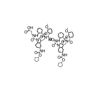 COc1cccc(C(=O)N(Cc2cn(C(=O)NCCC(=O)O)c3ccc(NC(=O)OC4CCCC4)cc23)S(=O)(=O)c2ccccc2C)c1.COc1cccc(C(=O)N(Cc2cn(C(=O)NO)c3ccc(NC(=O)OC4CCCC4)cc23)S(=O)(=O)c2ccccc2C)c1